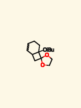 CC(C)COC12CCC=CC1CC21OCCO1